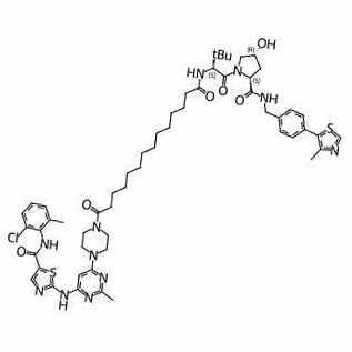 Cc1nc(Nc2ncc(C(=O)Nc3c(C)cccc3Cl)s2)cc(N2CCN(C(=O)CCCCCCCCCCCCC(=O)N[C@H](C(=O)N3C[C@H](O)C[C@H]3C(=O)NCc3ccc(-c4scnc4C)cc3)C(C)(C)C)CC2)n1